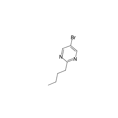 CCCCc1ncc(Br)cn1